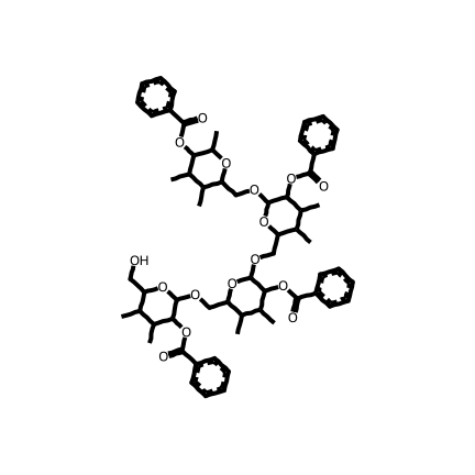 CC1OC(COC2OC(COC3OC(COC4OC(CO)C(C)C(C)C4OC(=O)c4ccccc4)C(C)C(C)C3OC(=O)c3ccccc3)C(C)C(C)C2OC(=O)c2ccccc2)C(C)C(C)C1OC(=O)c1ccccc1